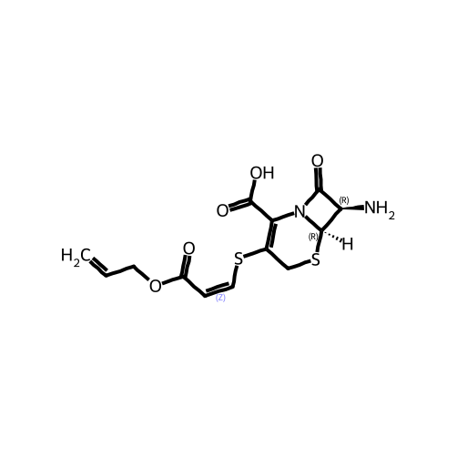 C=CCOC(=O)/C=C\SC1=C(C(=O)O)N2C(=O)[C@@H](N)[C@H]2SC1